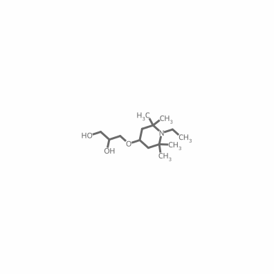 CCN1C(C)(C)CC(OCC(O)CO)CC1(C)C